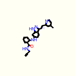 C#CCNC(=O)c1ccccc1Nc1ccc2c(/C=C/c3cc(C)ccn3)n[nH]c2c1